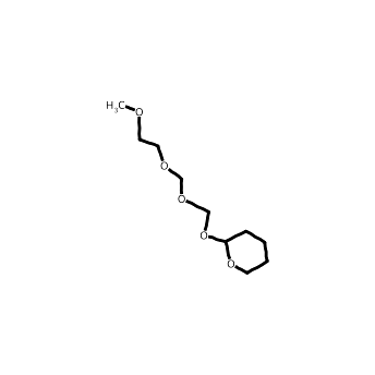 COCCOCOCOC1CCCCO1